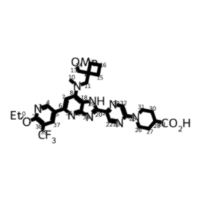 CCOc1ncc(-c2cc(N(C)CC3(COC)CCC3)c3[nH]c(-c4cnc(N5CCC(C(=O)O)CC5)cn4)nc3n2)cc1C(F)(F)F